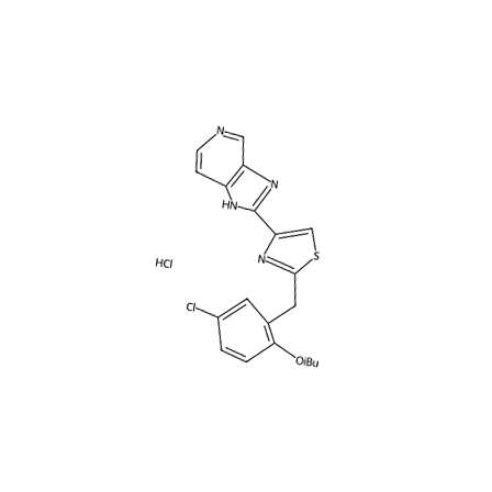 CC(C)COc1ccc(Cl)cc1Cc1nc(-c2nc3cnccc3[nH]2)cs1.Cl